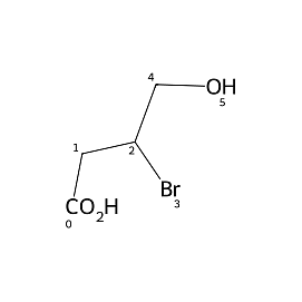 O=C(O)CC(Br)CO